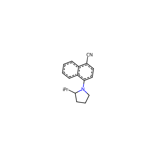 CC(C)C1CCCN1c1ccc(C#N)c2ccccc12